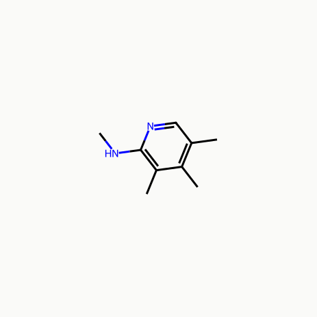 CNc1ncc(C)c(C)c1C